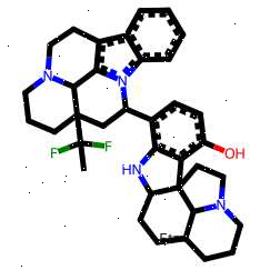 CCC12CCCN3CCC4(c5c(O)ccc(C6CC7(C(C)(F)F)CCCN8CCc9c(n6c6ccccc96)C87)c5NC4CC1)C32